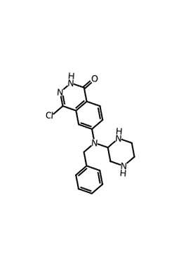 O=c1[nH]nc(Cl)c2cc(N(Cc3ccccc3)C3CNCCN3)ccc12